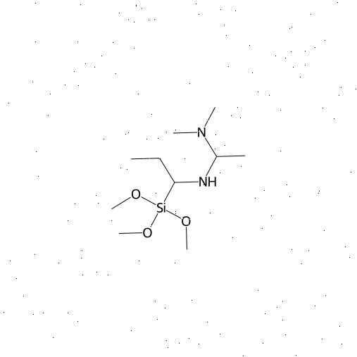 CCC(NC(C)N(C)C)[Si](OC)(OC)OC